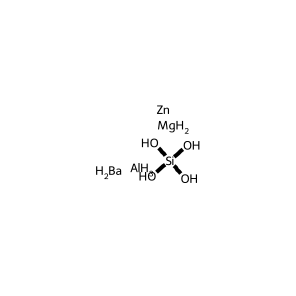 O[Si](O)(O)O.[AlH3].[BaH2].[MgH2].[Zn]